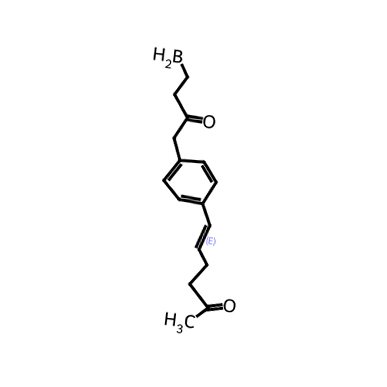 BCCC(=O)Cc1ccc(/C=C/CCC(C)=O)cc1